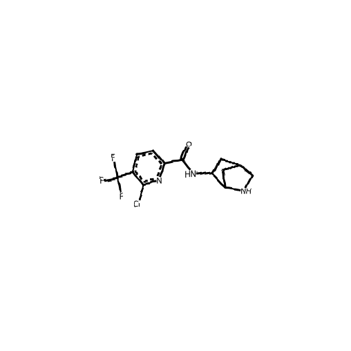 O=C(NC1CC2CNC1C2)c1ccc(C(F)(F)F)c(Cl)n1